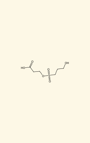 O=C(O)CCOS(=O)(=O)CCCO